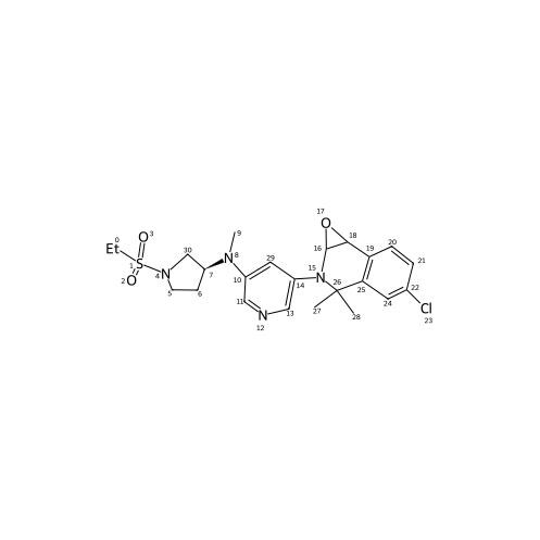 CCS(=O)(=O)N1CC[C@H](N(C)c2cncc(N3C4OC4c4ccc(Cl)cc4C3(C)C)c2)C1